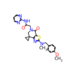 COc1ccc(CN(C)c2nc3c(s2)C(=O)N(CC(=O)Nc2ncccn2)CC32CC2)cc1